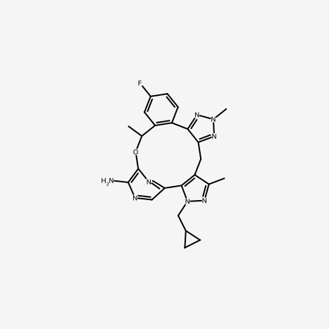 Cc1nn(CC2CC2)c2c1Cc1nn(C)nc1-c1ccc(F)cc1C(C)Oc1nc-2cnc1N